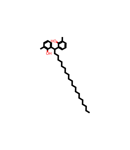 CCCCCCCCCCCCCCCCCCCCC(c1cccc(C)c1O)c1cccc(C)c1O